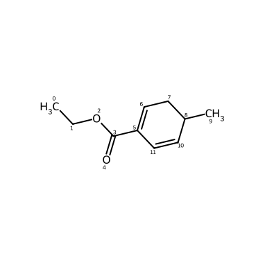 CCOC(=O)C1=CCC(C)C=C1